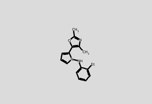 CCc1ccccc1Nn1cccc1-c1oc(C)nc1C